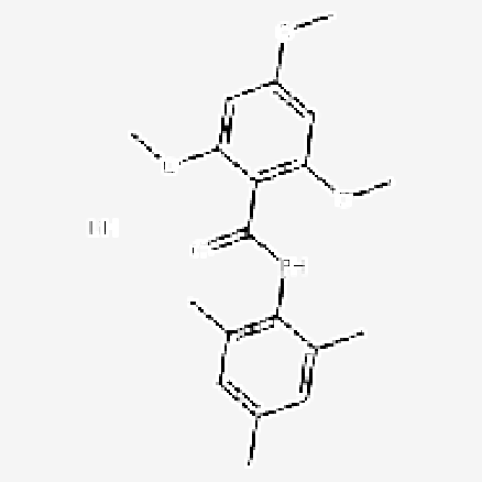 COc1cc(OC)c(C(=O)Pc2c(C)cc(C)cc2C)c(OC)c1.[LiH]